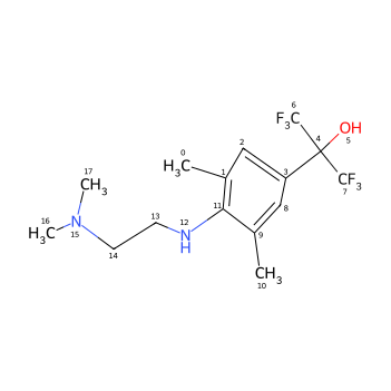 Cc1cc(C(O)(C(F)(F)F)C(F)(F)F)cc(C)c1NCCN(C)C